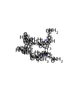 Cc1[nH]c(/C=C2\C(=O)Nc3ccc(CCC(N)=O)cc32)c(C)c1C(=O)NCCCNc1cc(-c2ccc(NCCN(C)CCNC(=O)c3c(C)[nH]c(/C=C4\C(=O)Nc5ccc(CCC(N)=O)cc54)c3C)c3c2C(=O)N(C2CCC(=O)NC2=O)C3=O)cc2c1C(=O)N(C1CCC(=O)NC1=O)C2=O